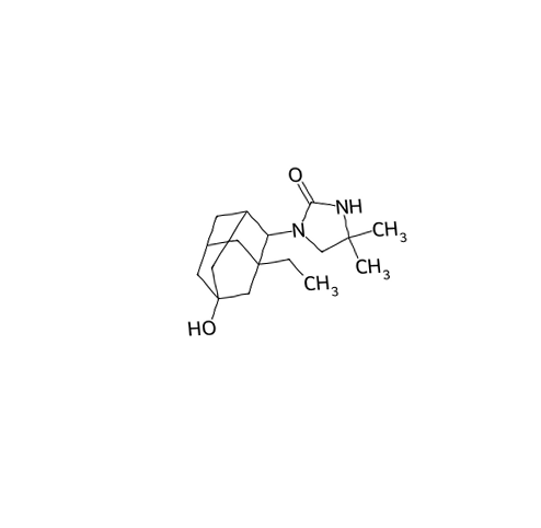 CCC12CC3CC(CC(O)(C3)C1)C2N1CC(C)(C)NC1=O